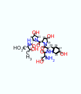 C[C@@H](O)[C@H](NC(=O)[C@@H]1C[C@@H](O)CN1C(=O)[C@@H]1C[C@@H](O)CN1C(=O)[C@H](Cc1ccc(O)cc1)NC(=O)[C@@H](N)CO)C(=O)O